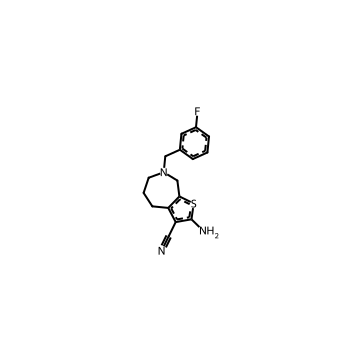 N#Cc1c(N)sc2c1CCCN(Cc1cccc(F)c1)C2